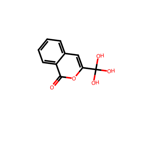 O=c1oc(C(O)(O)O)cc2ccccc12